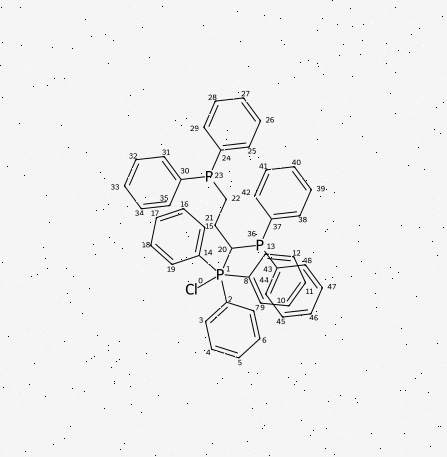 ClP(c1ccccc1)(c1ccccc1)(c1ccccc1)C(CCP(c1ccccc1)c1ccccc1)P(c1ccccc1)c1ccccc1